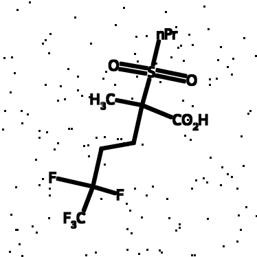 CCCS(=O)(=O)C(C)(CCC(F)(F)C(F)(F)F)C(=O)O